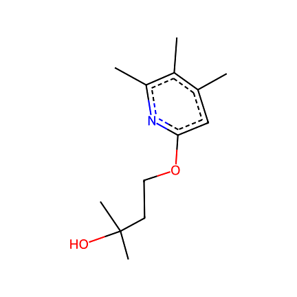 Cc1cc(OCCC(C)(C)O)nc(C)c1C